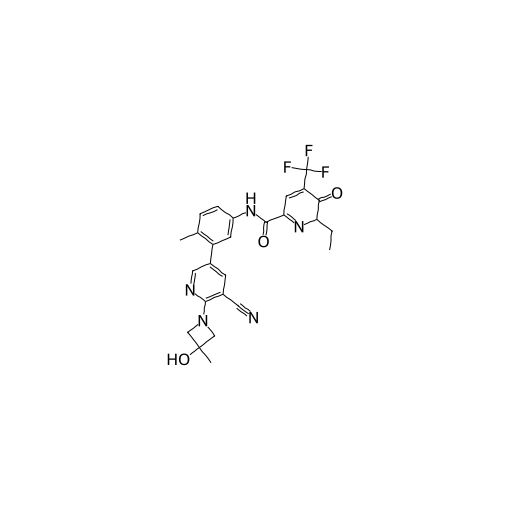 CCC1N=C(C(=O)Nc2ccc(C)c(-c3cnc(N4CC(C)(O)C4)c(C#N)c3)c2)C=C(C(F)(F)F)C1=O